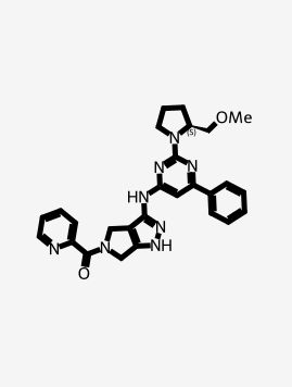 COC[C@@H]1CCCN1c1nc(Nc2n[nH]c3c2CN(C(=O)c2ccccn2)C3)cc(-c2ccccc2)n1